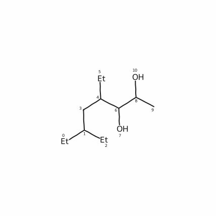 CCC(CC)CC(CC)C(O)C(C)O